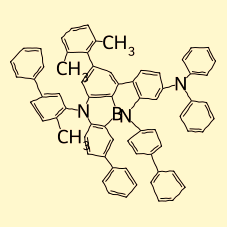 Cc1ccc(-c2ccccc2)cc1N1c2ccc(-c3ccccc3)cc2B2c3c(cc(-c4c(C)cccc4C)cc31)-c1ccc(N(c3ccccc3)c3ccccc3)cc1N2c1ccc(-c2ccccc2)cc1